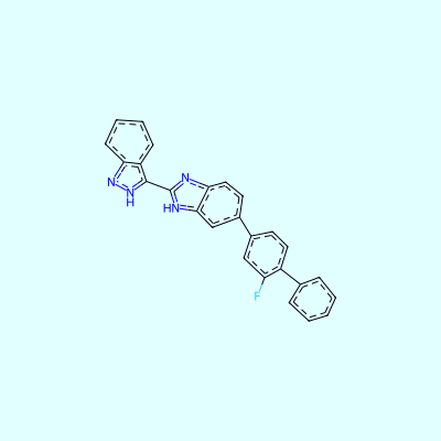 Fc1cc(-c2ccc3nc(-c4[nH]nc5ccccc45)[nH]c3c2)ccc1-c1ccccc1